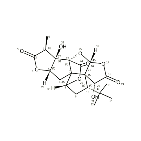 C[C@@H]1C(=O)O[C@H]2CC34[C@H]5C[C@@H](C(C)(C)C)C36[C@@H](OC(=O)[C@@H]6O)O[C@@]4(C(=O)O5)[C@]21O